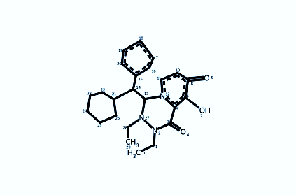 CCN1C(=O)c2c(O)c(=O)ccn2C(C(c2ccccc2)C2CCCCC2)N1CC